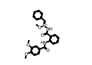 COc1ccc(C(=O)Nc2ccccc2C(=O)N[N+](=Cc2ccccc2)OC)cc1OC